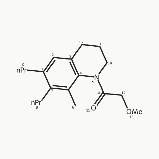 CCCc1cc2c(c(C)c1CCC)N(C(=O)COC)CCC2